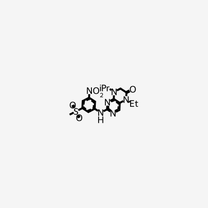 CCN1C(=O)CN(C(C)C)c2nc(Nc3cc([N+](=O)[O-])cc(S(C)(=O)=O)c3)ncc21